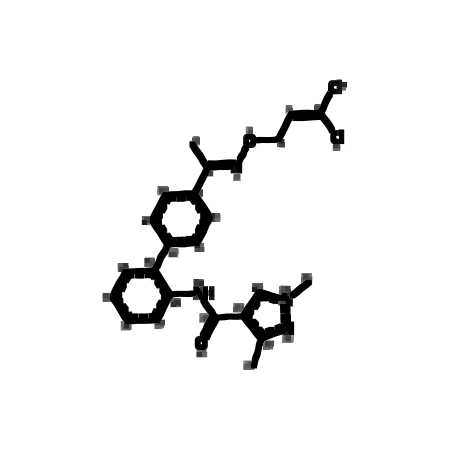 C/C(=N\OCC=C(Cl)Cl)c1ccc(-c2ccccc2NC(=O)c2cn(C)nc2C)cc1